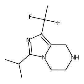 CC(C)c1nc(C(C)(F)F)c2n1CCNC2